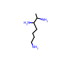 CC(N)C(N)CCCCN